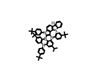 CC(C)c1cc2c3c(c1)N(c1ccc(C(C)(C)C)cc1)c1c(n(-c4ccc(C(C)(C)C)cc4)c4ccc5c(c14)SC1C=CC=C[C@H]51)B3c1cc(C(C)(C)C)ccc1N2c1ccc(C(C)(C)C)cc1